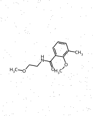 COCCNC(=O)c1cccc(C)c1OC